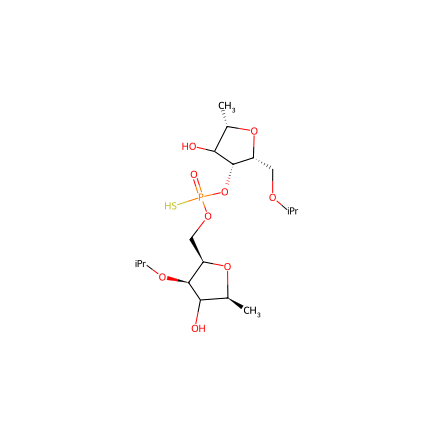 CC(C)OC[C@H]1O[C@@H](C)C(O)[C@H]1OP(=O)(S)OC[C@H]1O[C@@H](C)C(O)[C@H]1OC(C)C